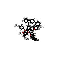 CC(C)(C)c1ccc(N(c2ccc(-n3c4ccccc4c4ccc5c6ccccc6n(-c6cc7c8c(c6)N(c6ccc(C(C)(C)C)cc6)c6ccc(C(C)(C)C)cc6B8c6cc(C(C)(C)C)ccc6N7c6ccc(C(C)(C)C)cc6)c5c43)cc2)c2ccc(C(C)(C)C)cc2)cc1